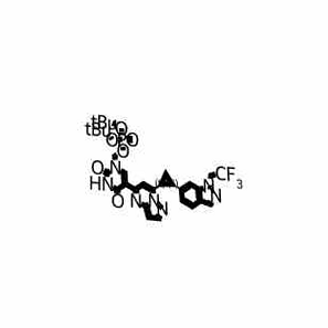 CC(C)(C)OP(=O)(OCn1cc(-c2cc([C@H]3C[C@@H]3c3ccc4cnn(CC(F)(F)F)c4c3)n3nccc3n2)c(=O)[nH]c1=O)OC(C)(C)C